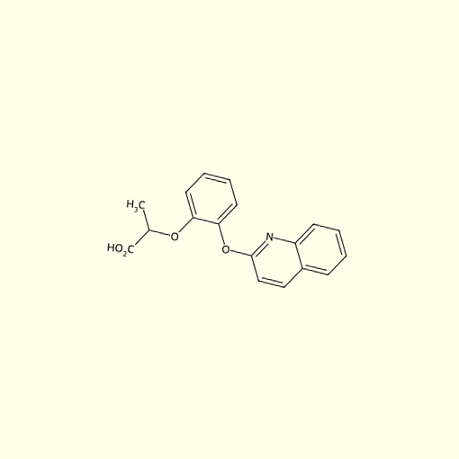 CC(Oc1ccccc1Oc1ccc2ccccc2n1)C(=O)O